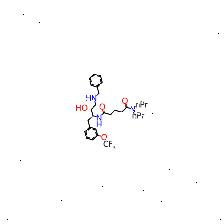 CCCN(CCC)C(=O)CCCC(=O)N[C@@H](Cc1cccc(OC(F)(F)F)c1)[C@H](O)CNCc1ccccc1